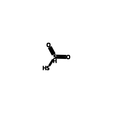 O=[SH](=O)S